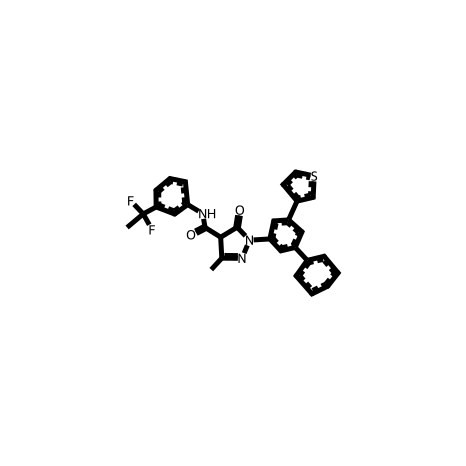 CC1=NN(c2cc(-c3ccccc3)cc(-c3ccsc3)c2)C(=O)C1C(=O)Nc1cccc(C(C)(F)F)c1